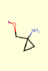 NC1(COI)CC1